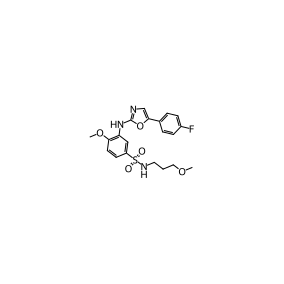 COCCCNS(=O)(=O)c1ccc(OC)c(Nc2ncc(-c3ccc(F)cc3)o2)c1